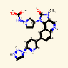 Cn1c(=O)n([C@H]2CCN(NC(=O)O)C2)c2c3cc(-c4ccc(-n5ccnn5)nc4)ccc3ncc21